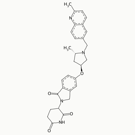 Cc1ccc2cc(CN3C[C@@H](Oc4ccc5c(c4)CN(C4CCC(=O)NC4=O)C5=O)C[C@@H]3C)ccc2n1